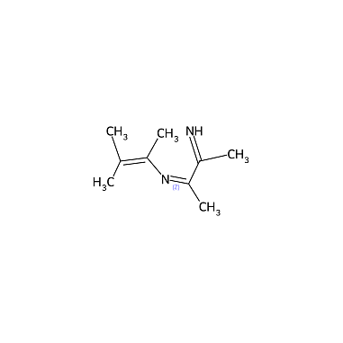 CC(=N)/C(C)=N\C(C)=C(C)C